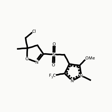 COc1c(CS(=O)(=O)C2=NOC(C)(CCl)C2)c(C(F)(F)F)nn1C